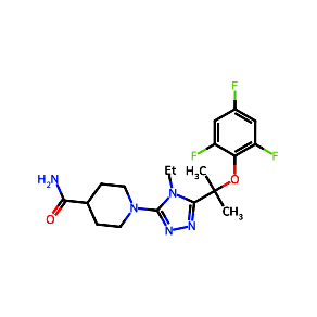 CCn1c(N2CCC(C(N)=O)CC2)nnc1C(C)(C)Oc1c(F)cc(F)cc1F